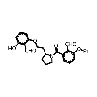 CCOc1cccc(C(=O)N2CCC[C@H]2CCOc2cccc(O)c2C=O)c1C=O